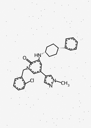 Cn1cc(-c2cc(N[C@H]3CC[C@@H](c4ccccc4)CC3)c(=O)n(Cc3ccccc3Cl)c2)cn1